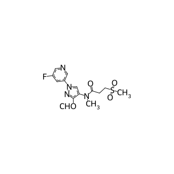 CN(C(=O)CCS(C)(=O)=O)c1cn(-c2cncc(F)c2)nc1C=O